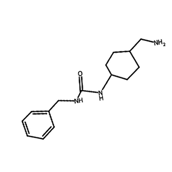 NCC1CCC(NC(=O)NCc2ccccc2)CC1